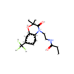 CCC(=O)NCCN1C(=O)C(C)(C)Oc2cc(C(F)(F)F)[c]cc21